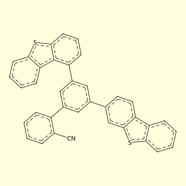 N#Cc1ccccc1-c1cc(-c2ccc3c(c2)sc2ccccc23)cc(-c2cccc3sc4ccccc4c23)c1